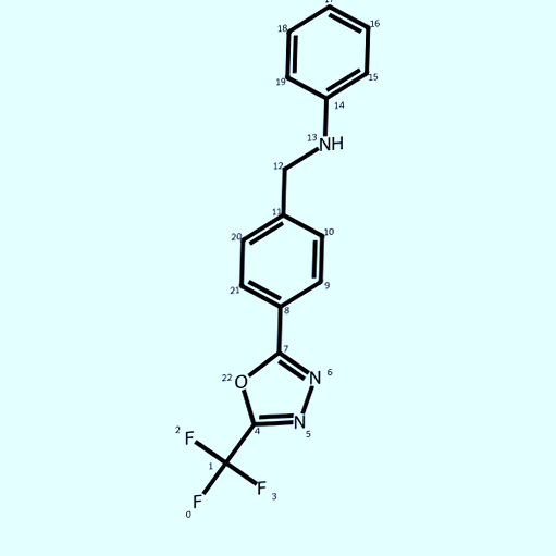 FC(F)(F)c1nnc(-c2ccc(CNc3ccccc3)cc2)o1